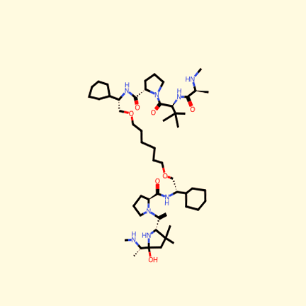 C=C([C@H]1NC(O)([C@H](C)NC)CC1(C)C)N1CCC[C@H]1C(=O)N[C@H](COCCCCCCOC[C@@H](NC(=O)[C@@H]1CCCN1C(=O)[C@@H](NC(=O)[C@H](C)NC)C(C)(C)C)C1CCCCC1)C1CCCCC1